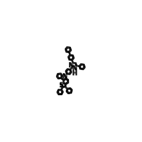 C1=C(c2ccccc2)NC(c2ccc(-n3c4ccccc4c4c5sc(-c6ccccc6)c(-c6ccccc6)c5ccc43)cc2)N=C1c1ccc(-c2ccccc2)cc1